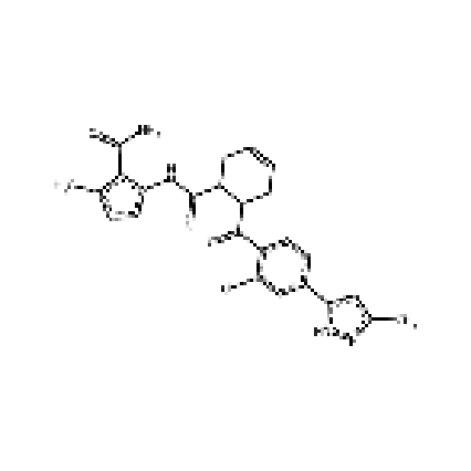 Cc1cc(-c2ccc(C(=O)C3CC=CCC3C(=O)Nc3cnn(C)c3C(N)=O)c(Cl)c2)[nH]n1